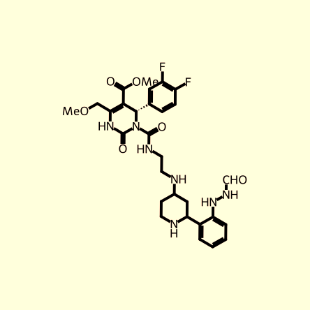 COCC1=C(C(=O)OC)[C@H](c2ccc(F)c(F)c2)N(C(=O)NCCNC2CCNC(c3ccccc3NNC=O)C2)C(=O)N1